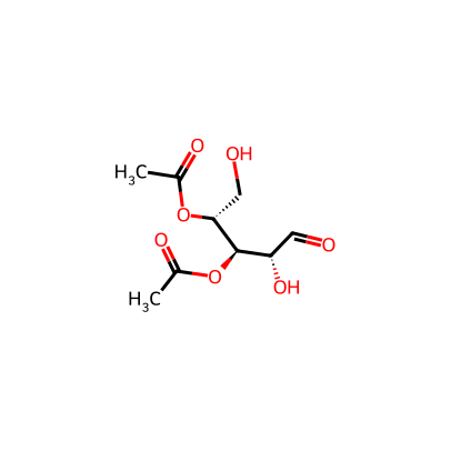 CC(=O)O[C@H]([C@@H](O)C=O)[C@@H](CO)OC(C)=O